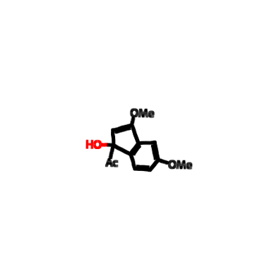 COC1=CC(O)(C(C)=O)c2ccc(OC)cc21